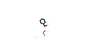 COCCC(=O)Oc1c[nH]c2ccccc12